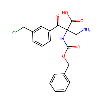 NCC(NC(=O)OCc1ccccc1)(C(=O)O)C(=O)c1cccc(CCl)c1